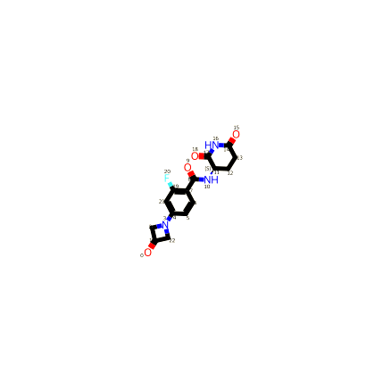 O=C1CN(c2ccc(C(=O)N[C@H]3CCC(=O)NC3=O)c(F)c2)C1